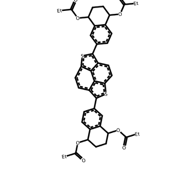 CCC(=O)OC1CCC(OC(=O)CC)c2cc(-c3sc4ccc5c(-c6ccc7c(c6)C(OC(=O)CC)CCC7OC(=O)CC)sc6ccc3c4c65)ccc21